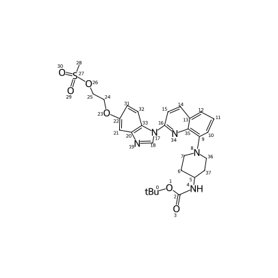 CC(C)(C)OC(=O)NC1CCN(c2cccc3ccc(-n4cnc5cc(OCCOS(C)(=O)=O)ccc54)nc23)CC1